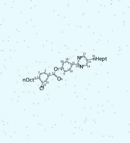 CCCCCCCCc1ccc(C(=O)Oc2ccc(-c3ncc(CCCCCCC)cn3)cc2)cc1Cl